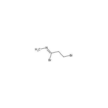 CN=C(Br)CCBr